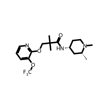 C[C@@H]1C[C@H](NC(=O)C(C)(C)COc2ncccc2OC(F)(F)F)CCN1C